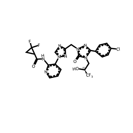 O=C(Nc1ncccc1-n1cnc(Cn2nc(-c3ccc(Cl)cc3)n(C[C@H](O)C(F)(F)F)c2=O)n1)C1CC1(F)F